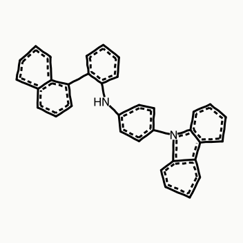 c1ccc(-c2cccc3ccccc23)c(Nc2ccc(-n3c4ccccc4c4ccccc43)cc2)c1